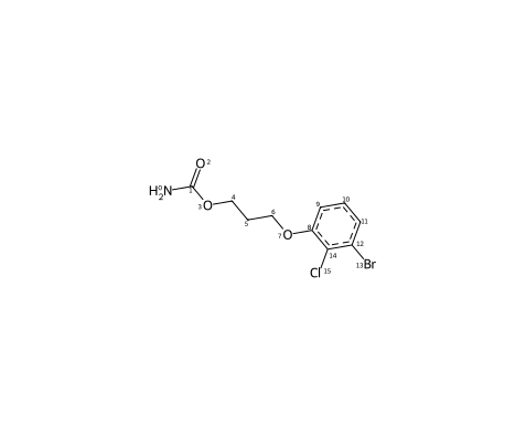 NC(=O)OCCCOc1cccc(Br)c1Cl